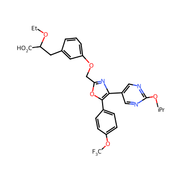 CCOC(Cc1cccc(OCc2nc(-c3cnc(OC(C)C)nc3)c(-c3ccc(OC(F)(F)F)cc3)o2)c1)C(=O)O